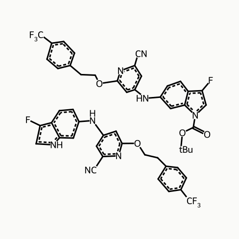 CC(C)(C)OC(=O)n1cc(F)c2ccc(Nc3cc(C#N)nc(OCCc4ccc(C(F)(F)F)cc4)c3)cc21.N#Cc1cc(Nc2ccc3c(F)c[nH]c3c2)cc(OCCc2ccc(C(F)(F)F)cc2)n1